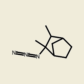 CC1C2CCC(C2)C1(C)N=[N+]=[N-]